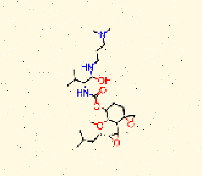 CO[C@@H]1[C@H](OC(=O)N[C@H](C(C)C)C(O)NCCCN(C)C)CC[C@]2(CO2)[C@H]1[C@@]1(C)O[C@@H]1CCC(C)C